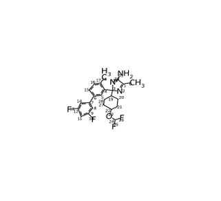 CC1=NC(c2cc(-c3cc(F)cc(F)c3)ccc2C)(C2CCC(OC(F)F)CC2)N=C1N